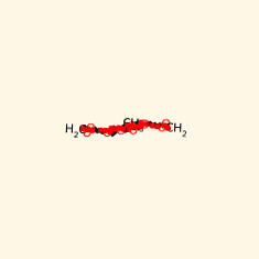 C=CC(=O)OCCCCCCOc1ccc(COc2ccc(OC(=O)c3ccc(OCCCCCCOC(=O)C=C)cc3)c(C)c2)cc1